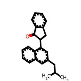 CC(C)Cc1cc(C2Cc3ccccc3C2=O)c2ccccc2c1